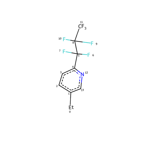 CCc1ccc(C(F)(F)C(F)(F)C(F)(F)F)nc1